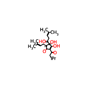 CC(C)=CC[C@@H]1C(=O)C(C(=O)CC(C)C)=C(O)[C@@]1(O)[C@@H](O)CC=C(C)C